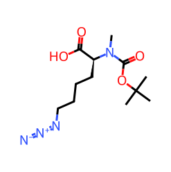 CN(C(=O)OC(C)(C)C)[C@@H](CCCCN=[N+]=[N-])C(=O)O